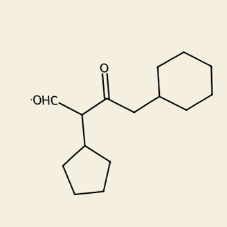 O=[C]C(C(=O)CC1CCCCC1)C1CCCC1